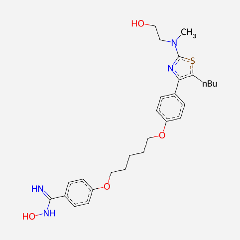 CCCCc1sc(N(C)CCO)nc1-c1ccc(OCCCCCOc2ccc(C(=N)NO)cc2)cc1